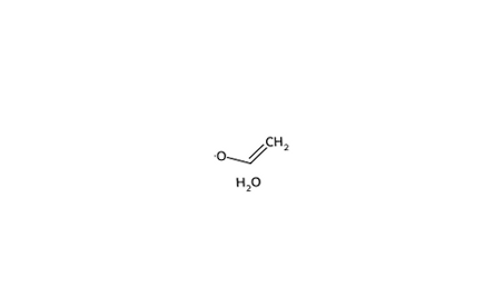 C=C[O].O